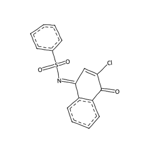 O=C1C(Cl)=CC(=NS(=O)(=O)c2ccccc2)c2ccccc21